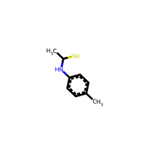 Cc1ccc(NC(C)S)cc1